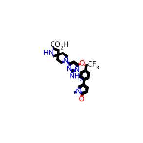 Cn1cc(-c2ccc(C(Oc3cc(N4CCC5(CC4)CNC(C(=O)O)C5)nc(N)n3)C(F)(F)F)cc2)ccc1=O